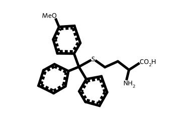 COc1ccc(C(SCCC(N)C(=O)O)(c2ccccc2)c2ccccc2)cc1